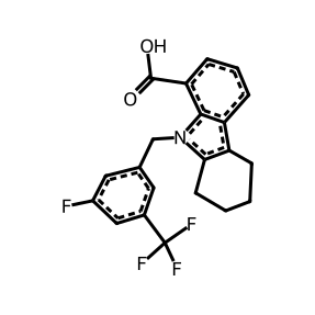 O=C(O)c1cccc2c3c(n(Cc4cc(F)cc(C(F)(F)F)c4)c12)CCCC3